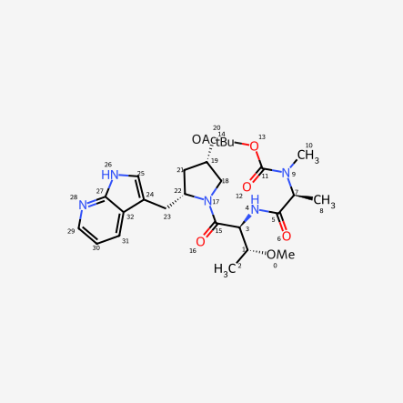 CO[C@H](C)[C@H](NC(=O)[C@H](C)N(C)C(=O)OC(C)(C)C)C(=O)N1C[C@@H](OC(C)=O)C[C@H]1Cc1c[nH]c2ncccc12